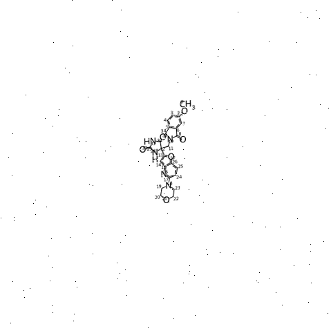 COc1ccc2c(c1)C(=O)N(C[C@@]1(c3cc4nc(N5CCOCC5)ccc4o3)NC(=O)NC1=O)C2